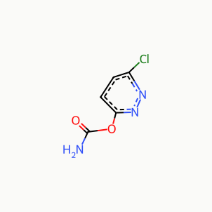 NC(=O)Oc1ccc(Cl)nn1